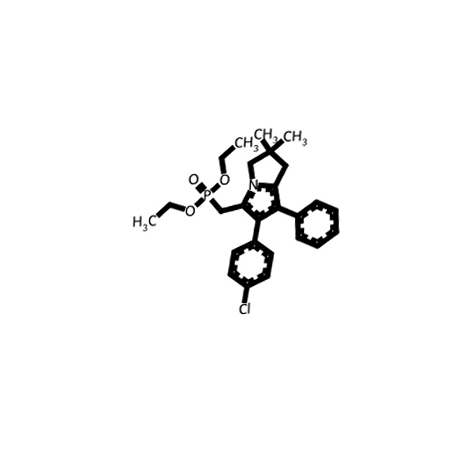 CCOP(=O)(Cc1c(-c2ccc(Cl)cc2)c(-c2ccccc2)c2n1CC(C)(C)C2)OCC